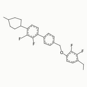 CCc1ccc(OCc2ccc(-c3ccc(C4CCC(C)CC4)c(F)c3F)cc2)c(F)c1F